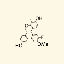 COc1ccc([C@@H]2c3ccc(O)c(C)c3OC[C@@H]2c2ccc(O)cc2)cc1F